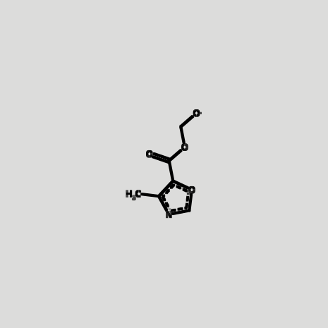 Cc1ncoc1C(=O)OC[O]